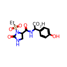 CCS(=O)(=O)N1C(=O)NCC1C(=O)NC(C(=O)O)c1ccc(O)cc1